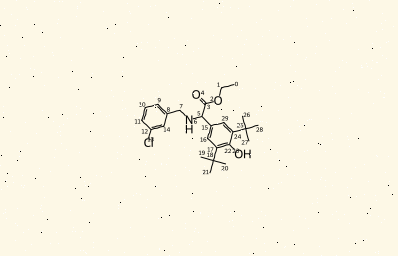 CCOC(=O)C(NCc1cccc(Cl)c1)c1cc(C(C)(C)C)c(O)c(C(C)(C)C)c1